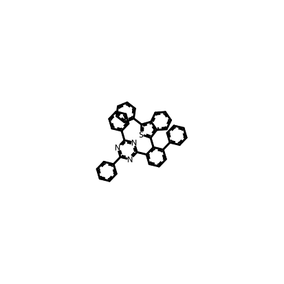 c1ccc(-c2nc(-c3ccccc3)nc(-c3cccc(-c4ccccc4)c3-c3sc(-c4ccccc4)c4ccccc34)n2)cc1